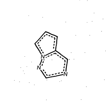 [c]1ncnn2cccc12